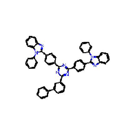 c1ccc(-c2cccc(-c3nc(-c4ccc(-c5nc6ccccc6n5-c5ccccc5)cc4)nc(-c4ccc(-c5nc6ccccc6n5-c5ccccc5)cc4)n3)c2)cc1